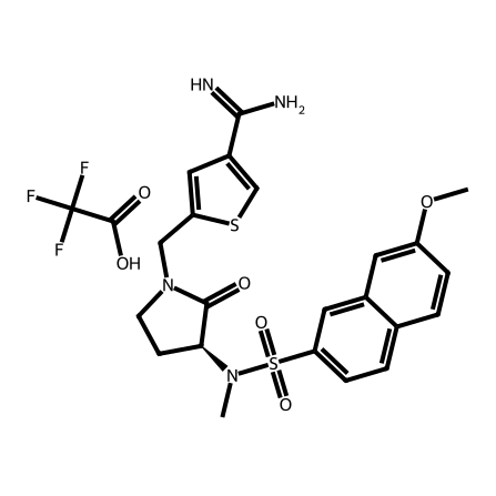 COc1ccc2ccc(S(=O)(=O)N(C)[C@H]3CCN(Cc4cc(C(=N)N)cs4)C3=O)cc2c1.O=C(O)C(F)(F)F